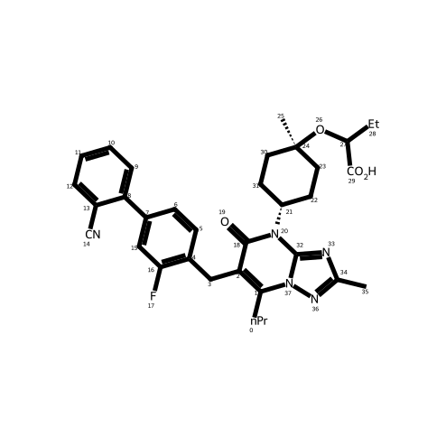 CCCc1c(Cc2ccc(-c3ccccc3C#N)cc2F)c(=O)n([C@H]2CC[C@](C)(OC(CC)C(=O)O)CC2)c2nc(C)nn12